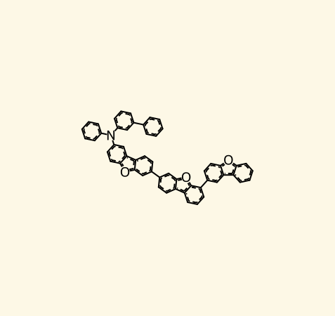 c1ccc(-c2cccc(N(c3ccccc3)c3ccc4oc5cc(-c6ccc7c(c6)oc6c(-c8ccc9oc%10ccccc%10c9c8)cccc67)ccc5c4c3)c2)cc1